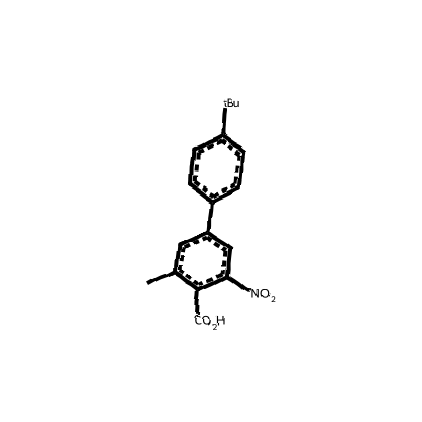 Cc1cc(-c2ccc(C(C)(C)C)cc2)cc([N+](=O)[O-])c1C(=O)O